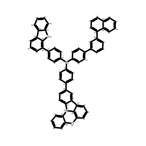 c1cc(-c2ccc(N(c3ccc(-c4ccc5c(c4)c4cccc6c4n5-c4ccccc4O6)cc3)c3ccc(-c4cccc5c4sc4ccccc45)cc3)cc2)cc(-c2cccc3ccccc23)c1